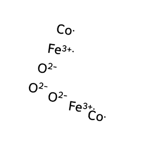 [Co].[Co].[Fe+3].[Fe+3].[O-2].[O-2].[O-2]